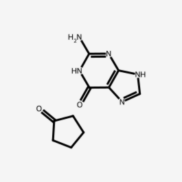 Nc1nc2[nH]cnc2c(=O)[nH]1.O=C1CCCC1